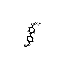 CCO[C@H]1CC[C@@H](N2CCC(NC(=O)O)CC2)CC1